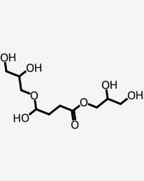 O=C(CCC(O)OCC(O)CO)OCC(O)CO